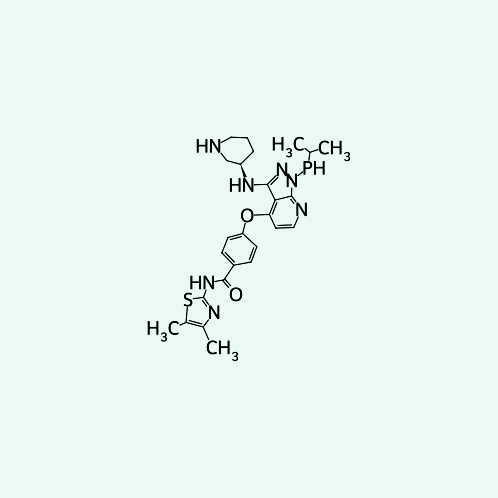 Cc1nc(NC(=O)c2ccc(Oc3ccnc4c3c(N[C@@H]3CCCNC3)nn4PC(C)C)cc2)sc1C